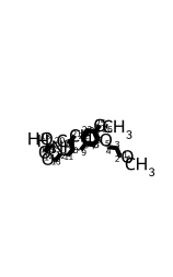 COCCCOc1cc(C[C@H](C[C@@H](C=O)NC(=O)O)C(C)C)ccc1OC